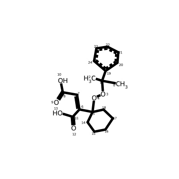 CC(C)(OOC1(C(=CC(=O)O)C(=O)O)CCCCC1)c1ccccc1